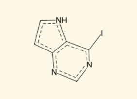 Ic1ncnc2cc[nH]c12